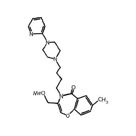 COCC1=COc2ccc(C)cc2C(=O)N1CCCCN1CCN(c2ccccn2)CC1